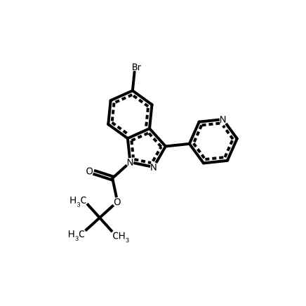 CC(C)(C)OC(=O)n1nc(-c2cccnc2)c2cc(Br)ccc21